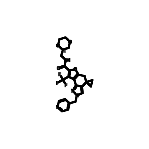 O=C(NC[C@@H]1COCCO1)c1oc2c(c1C(F)(F)F)-c1nn(Cc3ccncc3)cc1C1(CC1)C2